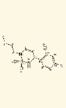 CCCCN1C=CC(c2ccc(C)cc2Cl)NS1(=O)=O